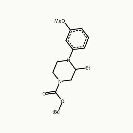 CCC1CN(C(=O)OC(C)(C)C)CCN1c1cccc(OC)c1